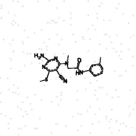 CSc1nc(N)nc(N(C)CC(=O)Nc2cccc(C)c2)c1C#N